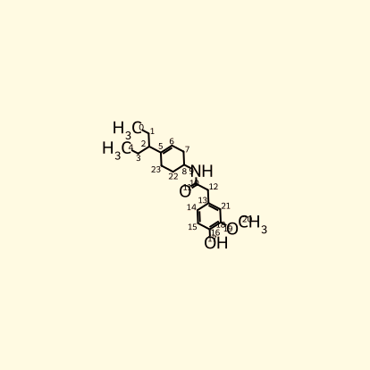 CCC(CC)C1=CCC(NC(=O)Cc2ccc(O)c(OC)c2)CC1